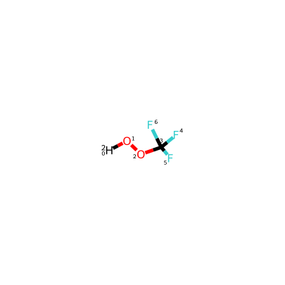 [2H]OOC(F)(F)F